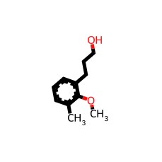 COc1c(C)cccc1CCCO